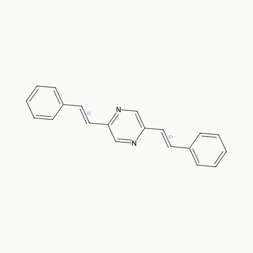 C(=C\c1cnc(/C=C/c2ccccc2)cn1)/c1ccccc1